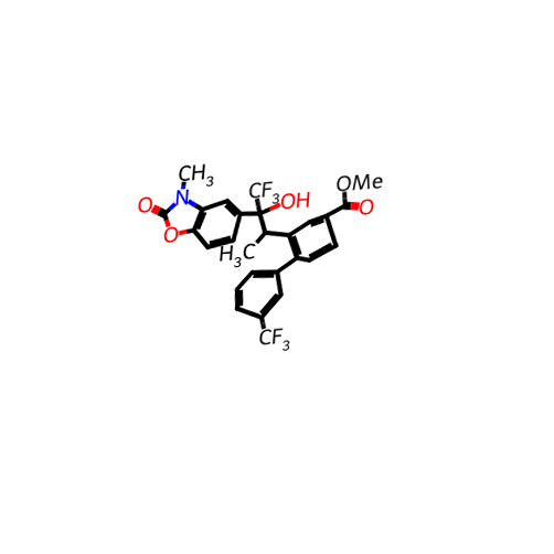 COC(=O)c1ccc(-c2cccc(C(F)(F)F)c2)c(C(C)C(O)(c2ccc3oc(=O)n(C)c3c2)C(F)(F)F)c1